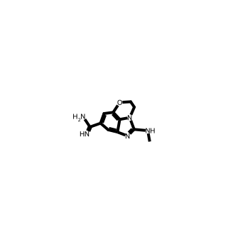 CNc1nc2cc(C(=N)N)cc3c2n1CCO3